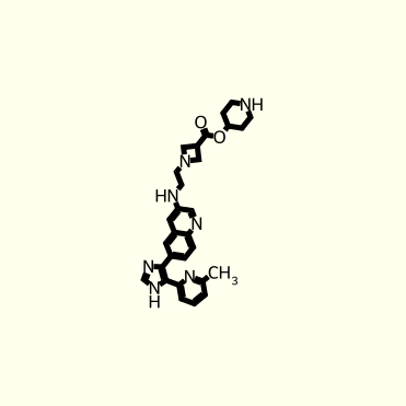 Cc1cccc(-c2[nH]cnc2-c2ccc3ncc(NCCN4CC(C(=O)OC5CCNCC5)C4)cc3c2)n1